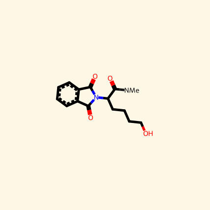 CNC(=O)C(CCCCO)N1C(=O)c2ccccc2C1=O